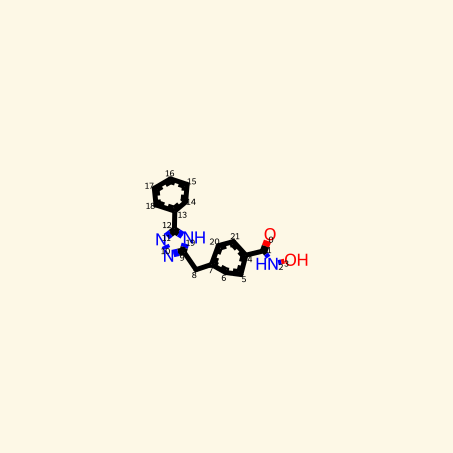 O=C(NO)c1ccc(Cc2nnc(-c3ccccc3)[nH]2)cc1